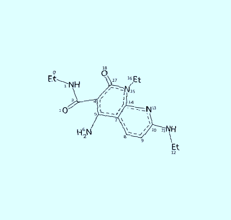 CCNC(=O)c1c(N)c2ccc(NCC)nc2n(CC)c1=O